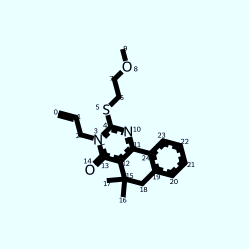 C=CCn1c(SCCOC)nc2c(c1=O)C(C)(C)Cc1ccccc1-2